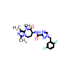 Cc1nc(C)n2c1N(C)C(=O)C(NC(=O)c1ncn(Cc3cc(F)ccc3F)n1)CC2